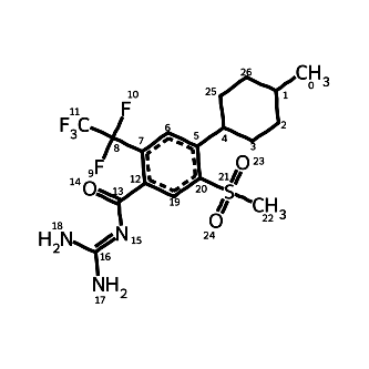 CC1CCC(c2cc(C(F)(F)C(F)(F)F)c(C(=O)N=C(N)N)cc2S(C)(=O)=O)CC1